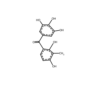 Cc1c(O)ccc(C(=O)c2cc(O)c(O)c(O)c2)c1O